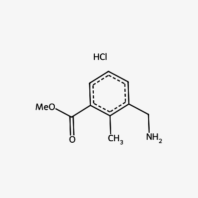 COC(=O)c1cccc(CN)c1C.Cl